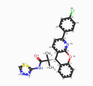 CC(C)(C(=O)Nc1nncs1)[C@H]1c2ccccc2Oc2nc(-c3ccc(Cl)cc3)ccc21